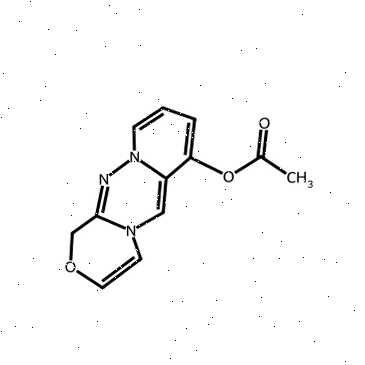 CC(=O)OC1=CC=CN2N=C3COC=CN3C=C12